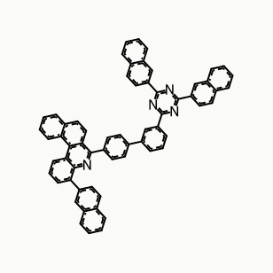 c1cc(-c2ccc(-c3nc4c(-c5ccc6ccccc6c5)cccc4c4c3ccc3ccccc34)cc2)cc(-c2nc(-c3ccc4ccccc4c3)nc(-c3ccc4ccccc4c3)n2)c1